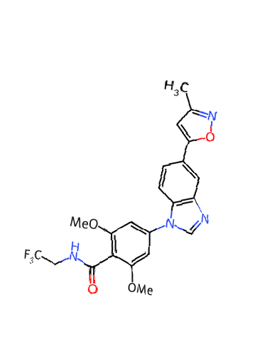 COc1cc(-n2cnc3cc(-c4cc(C)no4)ccc32)cc(OC)c1C(=O)NCC(F)(F)F